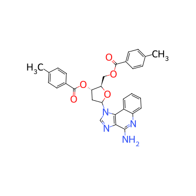 Cc1ccc(C(=O)OC[C@H]2OC(n3cnc4c(N)nc5ccccc5c43)C[C@@H]2OC(=O)c2ccc(C)cc2)cc1